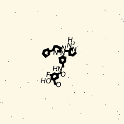 Nc1ncccc1-c1nc2ccc(-c3ccccc3)nc2n1-c1ccc(CNC(=O)c2cc(F)c(O)c(C=O)c2)cc1